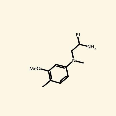 CCC(N)CN(C)c1ccc(C)c(OC)c1